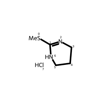 CSC1=NCCCN1.Cl